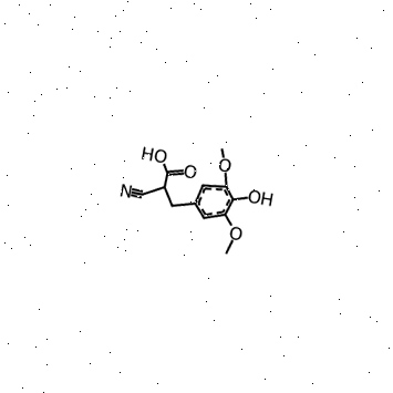 COc1cc(CC(C#N)C(=O)O)cc(OC)c1O